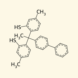 Cc1ccc(C(C)(c2ccc(-c3ccccc3)cc2)c2ccc(C)cc2S)c(S)c1